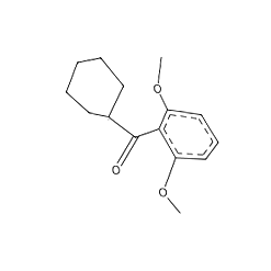 COc1cccc(OC)c1C(=O)[C]1CCCCC1